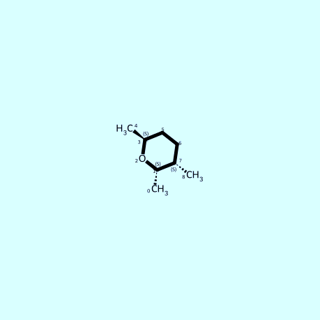 C[C@@H]1O[C@@H](C)CC[C@@H]1C